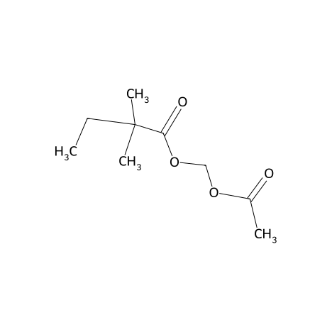 CCC(C)(C)C(=O)OCOC(C)=O